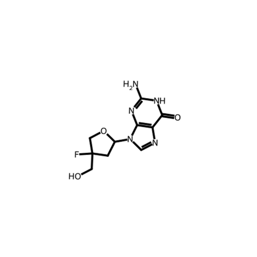 Nc1nc2c(ncn2C2CC(F)(CO)CO2)c(=O)[nH]1